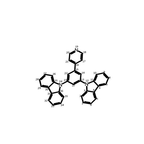 c1ccc2c(c1)c1ccccc1n2-c1cc(-c2ccncc2)cc(-n2c3ccccc3c3ccccc32)c1